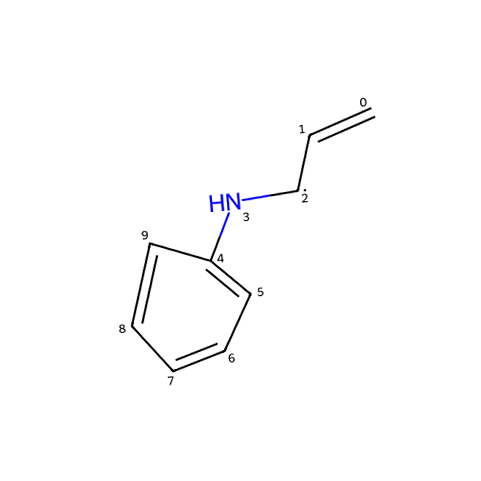 C=C[CH]Nc1ccccc1